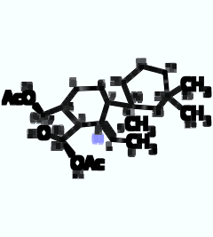 C/C=C1/C2C(CCC1[C@@]1(C)CCCC(C)(C)C1)[C@H](OC(C)=O)O[C@@H]2OC(C)=O